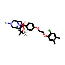 CC(=O)N1CC2CC(c3ccc(OCCOc4cc(C)c(C)cc4Cl)cc3)=C(C(=O)O)C(C1)N2C(=O)OC(C)(C)C(Cl)(Cl)Cl